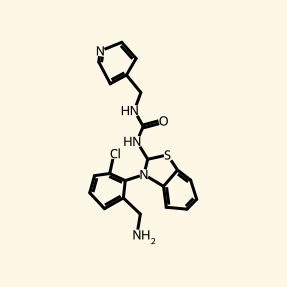 NCc1cccc(Cl)c1N1c2ccccc2SC1NC(=O)NCc1ccncc1